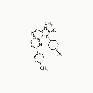 CC(=O)N1CCC(n2c(=O)n(C)c3cnc4ccc(-c5ccc(C)cc5)nc4c32)CC1